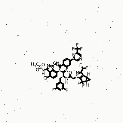 Cn1nc(NS(C)(=O)=O)c2c(Cl)ccc(-n3c([C@H](Cc4cc(F)cc(F)c4)NC(=O)Cn4nc(C(F)F)c5c4C(F)(F)[C@@H]4C[C@H]54)nc4cc(-c5cncc(C(F)(F)F)n5)ccc4c3=O)c21